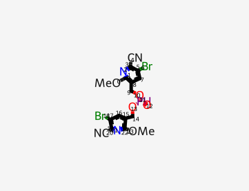 COc1nc(C#N)c(Br)cc1CO[PH](=O)OCc1cc(Br)c(C#N)nc1OC